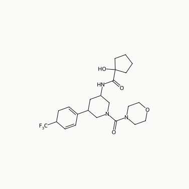 O=C(N1CCOCC1)N1CC(NC(=O)C2(O)CCCC2)CC(C2=CCC(C(F)(F)F)C=C2)C1